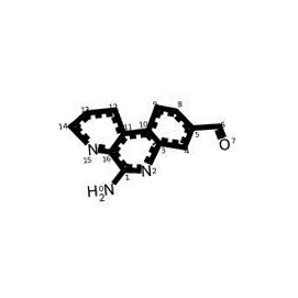 Nc1nc2cc(C=O)ccc2c2cccnc12